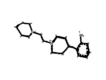 CCCc1ccccc1C1CCN(CCN2CCCCC2)CC1